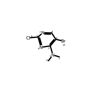 CN(C)c1nc(Cl)ncc1Br